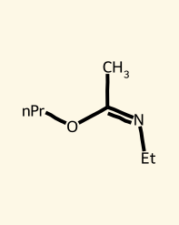 CCCO/C(C)=N\CC